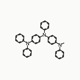 CN(c1ccccc1)c1ccc(N(c2ccccc2)c2ccc(N(c3ccccc3)c3ccccc3)cc2)cc1